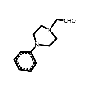 O=CCN1CCN(c2ccccc2)CC1